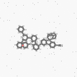 N#Cc1ccc2c(c1)C1(c3ccc(-c4cccc5c4c4cccc(-c6cc(-c7ccccc7)nc(-c7ccccc7)c6)c4n5-c4ccccc4)cc3-2)C2CC3CC(C2)CC1C3